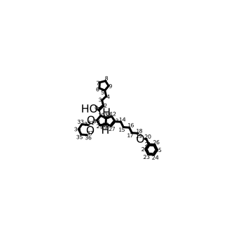 OC(=CCCC1CCCC1)[C@H]1[C@@H]2CC(CCCCCOCc3ccccc3)=C[C@@H]2C[C@@H]1OC1CCCCO1